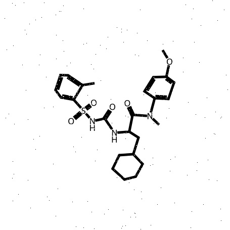 COc1ccc(N(C)C(=O)C(CC2CCCCC2)NC(=O)NS(=O)(=O)c2ccccc2C)cc1